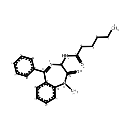 CCCCCC(=O)NC1N=C(c2ccccc2)c2ccccc2N(C)C1=O